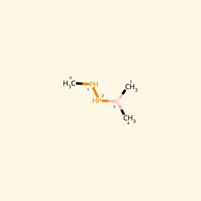 CPPB(C)C